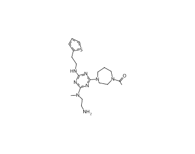 CC(=O)N1CCCN(c2nc(NCCc3cccs3)nc(N(C)CCN)n2)CC1